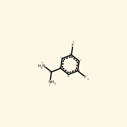 NC(N)c1cc(F)cc(F)c1